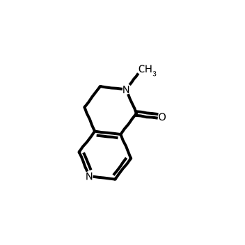 CN1CCc2cnccc2C1=O